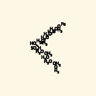 N.O.O.O.O.O.O.O.O.O.O.O.O.O=S(=O)(O)O.[Fe]